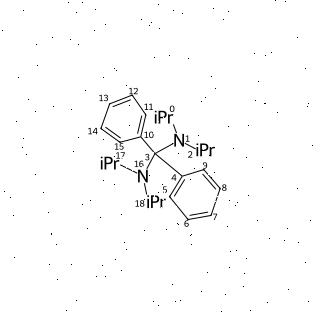 CC(C)N(C(C)C)C(c1ccccc1)(c1ccccc1)N(C(C)C)C(C)C